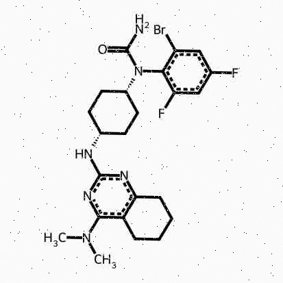 CN(C)c1nc(N[C@H]2CC[C@@H](N(C(N)=O)c3c(F)cc(F)cc3Br)CC2)nc2c1CCCC2